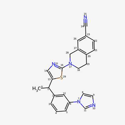 CC(c1cccc(-n2ccnc2)c1)c1cnc(N2CCc3ccc(C#N)cc3C2)s1